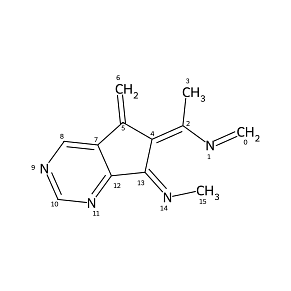 C=N/C(C)=C1/C(=C)c2cncnc2/C1=N/C